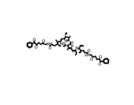 C=C/C(=N/C(=C\C1=C(C)[C@@H](C=C)C(C[C@@H]2N=C(/C=C3\NCC(CCC(=O)NCC(=O)CCC(=O)C(=O)c4ccccc4)=C3C)[C@H](C=C)C2C)N1)CC)C(=C)CCC(=O)NCC(=O)CCC(=O)C(=O)c1ccccc1